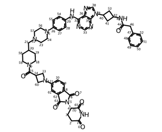 O=C1CC[C@H](N2C(=O)c3ccc(N4CC(C(=O)N5CCC(CN6CCN(c7ccc(Nc8ncnc9c8ncn9C8CC(NC(=O)Cc9ccccc9)C8)cc7)CC6)CC5)C4)cc3C2=O)C(=O)N1